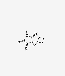 COC(=O)C1(C(=O)N=O)CC12CCC2